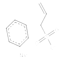 C=CCS(=O)(=O)[O-].[Na+].c1ccccc1